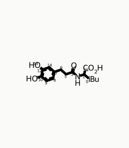 CCC(C)C(NC(=O)CCc1ccc(O)c(O)c1)C(=O)O